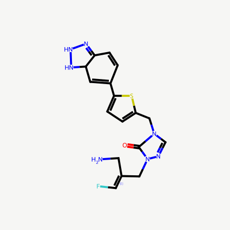 NC/C(=C\F)Cn1ncn(Cc2ccc(C3=CC4NNN=C4C=C3)s2)c1=O